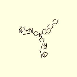 c1ccc(-c2ccc3c(ccc4cc(N(c5ccc(-c6cc7ccc8ncccc8c7cn6)cc5)c5ccc(-c6cc7ccc8ncccc8c7cn6)cc5)ccc43)c2)cc1